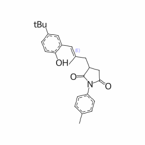 C/C(=C\c1cc(C(C)(C)C)ccc1O)CC1CC(=O)N(c2ccc(C)cc2)C1=O